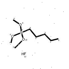 CCCCC[Si](OC)(OC)OC.F